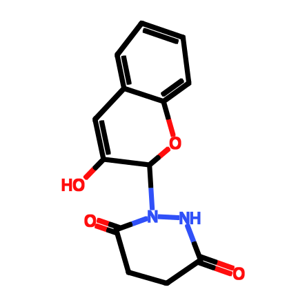 O=C1CCC(=O)N(C2Oc3ccccc3C=C2O)N1